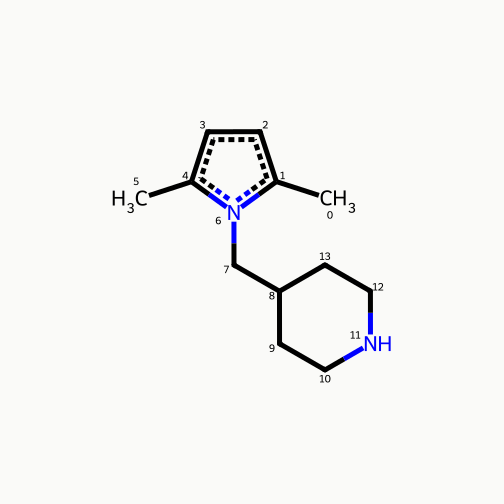 Cc1ccc(C)n1CC1CCNCC1